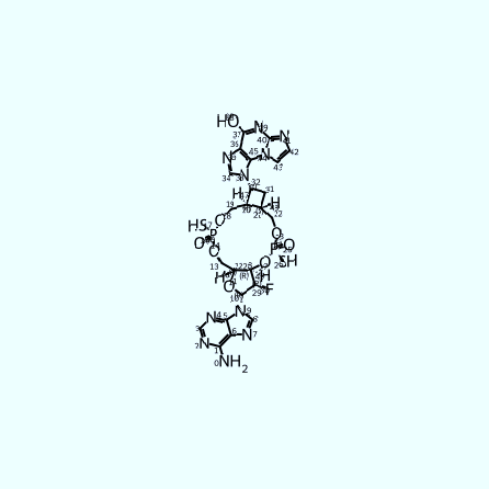 Nc1ncnc2c1ncn2[C@@H]1O[C@@H]2CO[P@](=O)(S)OC[C@@H]3[C@@H](CO[P@@](=O)(S)O[C@H]2[C@H]1F)C[C@H]3n1cnc2c(O)nc3nccn3c21